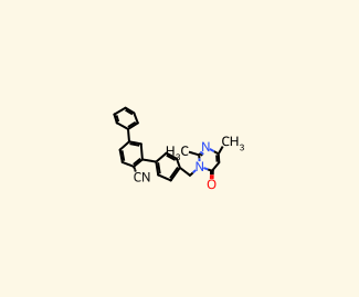 Cc1cc(=O)n(Cc2ccc(-c3cc(-c4ccccc4)ccc3C#N)cc2)c(C)n1